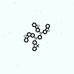 CC1(C)c2ccccc2-c2ccc(N(c3cccc(N(c4ccc5c(c4)oc4ccccc45)c4ccc5sc6ccccc6c5c4)c3)c3ccc4ccc5oc6ccccc6c5c4c3)cc21